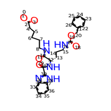 COC(=O)CCCCCNC(=O)[C@H](CCCNC(=O)OCc1ccccc1)NC(=O)c1nc2ccccc2[nH]1